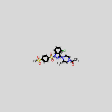 CC(C)S(=O)(=O)c1ccc(S(=O)(=O)n2nc(N3CCN(C(=O)C(F)(F)F)CC3C(F)(F)F)c3c(Cl)cccc32)cc1